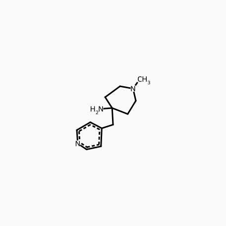 CN1CCC(N)(Cc2ccncc2)CC1